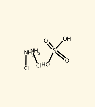 NCl.NCl.O=S(=O)(O)O